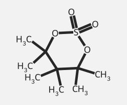 CC1(C)OS(=O)(=O)OC(C)(C)C1(C)C